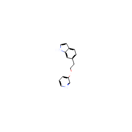 [c]1c[nH]c2cc(CCOc3cccnc3)ccc12